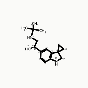 CC(C)(C)NC[C@H](O)c1ccc2c(c1)C1(CC1)CN2